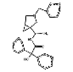 NC(NC(=O)C(O)(c1ccccc1)c1ccccc1)C12CC1CN(Cc1cccnc1)C2